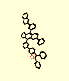 c1ccc(-c2ccc3c(-c4cccc(-c5ccc6ccccc6c5)c4)c4ccccc4c(-c4cccc(-c5ccc6c(-c7ccccc7)c(-c7ccccc7)oc6c5)c4)c3c2)cc1